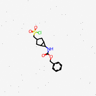 O=C(NC1C2CC(CS(=O)(=O)Cl)CC21)OCc1ccccc1